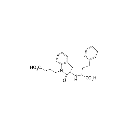 O=C(O)CCCN1C(=O)C(NC(CCc2ccccc2)C(=O)O)Cc2ccccc21